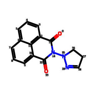 O=C1c2cccc3cccc(c23)C(=O)N1N1CCC=N1